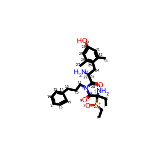 CC[S+]([O-])C(N)(CC)C(=O)N(CCCc1ccccc1)C(=O)[C@@H](N)Cc1c(C)cc(O)cc1C